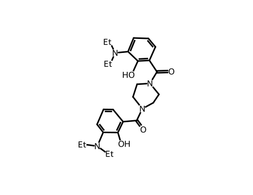 CCN(CC)c1cccc(C(=O)N2CCN(C(=O)c3cccc(N(CC)CC)c3O)CC2)c1O